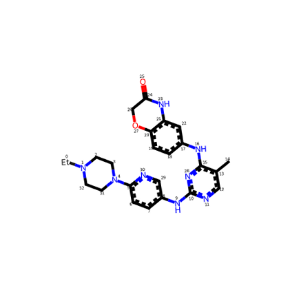 CCN1CCN(c2ccc(Nc3ncc(C)c(Nc4ccc5c(c4)NC(=O)CO5)n3)cn2)CC1